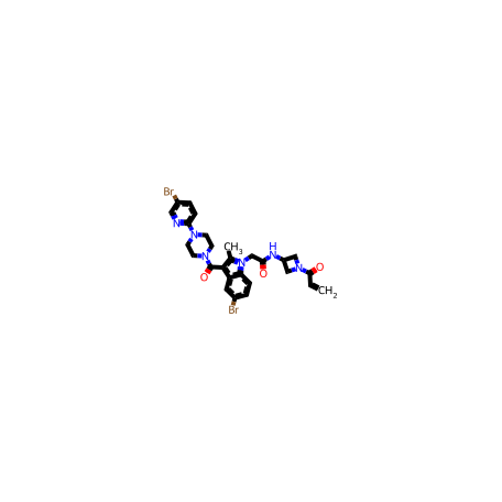 C=CC(=O)N1CC(NC(=O)Cn2c(C)c(C(=O)N3CCN(c4ccc(Br)cn4)CC3)c3cc(Br)ccc32)C1